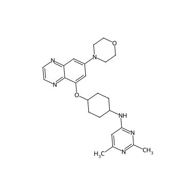 Cc1cc(NC2CCC(Oc3cc(N4CCOCC4)cc4nccnc34)CC2)nc(C)n1